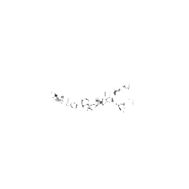 Cc1ccc(-c2cccc3c2cnn3Cc2cc(OCc3cncc(C#N)c3)c(CN[C@@H](CO)C(=O)O)cc2Cl)c(Cl)c1-c1ccc(CNC[C@@H]2CCC(=O)N2)cc1